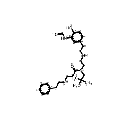 CC(C)(C)CN(CCNCCc1ccc(O)c(NC=O)c1)C(=O)CCNCCc1ccccc1